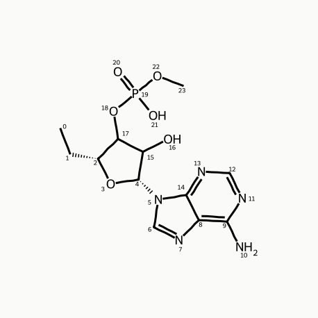 CC[C@H]1O[C@@H](n2cnc3c(N)ncnc32)C(O)C1OP(=O)(O)OC